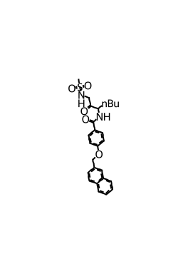 CCCCC(NC(=O)c1ccc(OCc2ccc3ccccc3c2)cc1)C(=O)CNS(C)(=O)=O